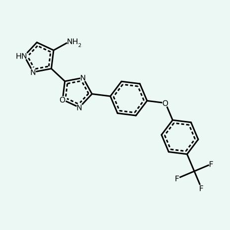 Nc1c[nH]nc1-c1nc(-c2ccc(Oc3ccc(C(F)(F)F)cc3)cc2)no1